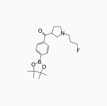 CC1(C)OB(c2ccc(C(=O)C3CCN(CCCF)C3)cc2)OC1(C)C